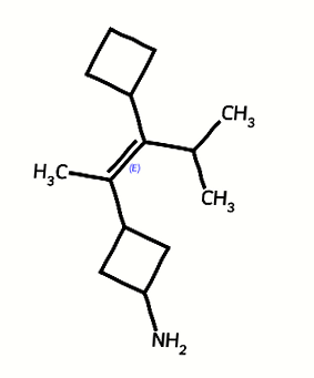 C/C(=C(/C(C)C)C1CCC1)C1CC(N)C1